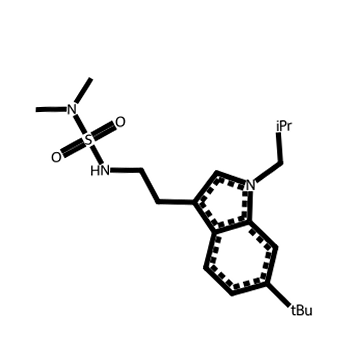 CC(C)Cn1cc(CCNS(=O)(=O)N(C)C)c2ccc(C(C)(C)C)cc21